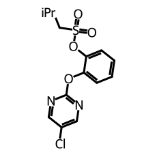 CC(C)CS(=O)(=O)Oc1ccccc1Oc1ncc(Cl)cn1